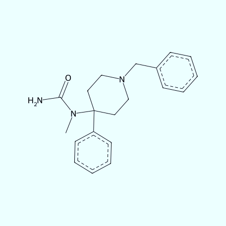 CN(C(N)=O)C1(c2ccccc2)CCN(Cc2ccccc2)CC1